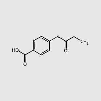 CCC(=O)Sc1ccc(C(=O)O)cc1